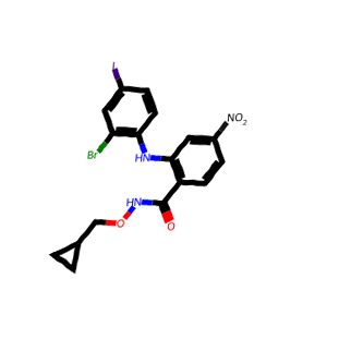 O=C(NOCC1CC1)c1ccc([N+](=O)[O-])cc1Nc1ccc(I)cc1Br